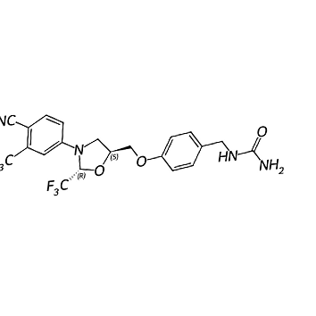 N#Cc1ccc(N2C[C@@H](COc3ccc(CNC(N)=O)cc3)O[C@@H]2C(F)(F)F)cc1C(F)(F)F